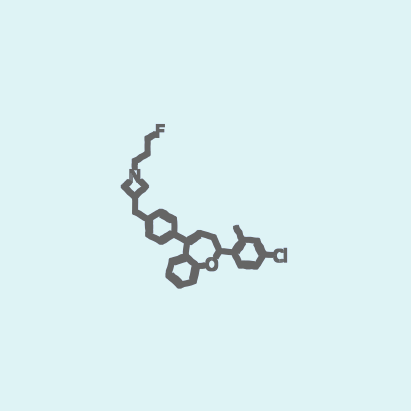 Cc1cc(Cl)ccc1C1CC=C(c2ccc(CC3CN(CCCF)C3)cc2)c2ccccc2O1